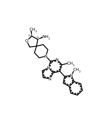 Cc1nc(N2CCC3(CC2)CO[C@@H](C)[C@H]3N)n2ccnc2c1-c1cc2ccccc2n1C